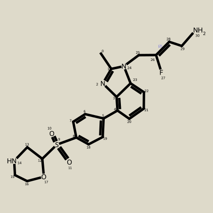 Cc1nc2c(-c3ccc(S(=O)(=O)C4CNCCO4)cc3)cccc2n1C/C(F)=C/CN